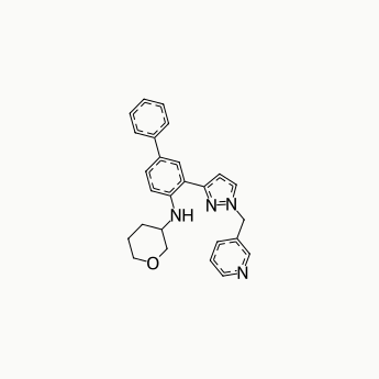 c1ccc(-c2ccc(NC3CCCOC3)c(-c3ccn(Cc4cccnc4)n3)c2)cc1